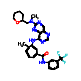 CC1=C=CC=C(C(=O)Nc2cccc(C(F)(F)F)c2)C=C1Nc1ncnc2cnc(N(C)CC3CCCCO3)nc12